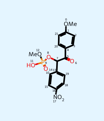 COc1ccc(C(=O)C(OP(=O)(O)OC)c2ccc([N+](=O)[O-])cc2)cc1